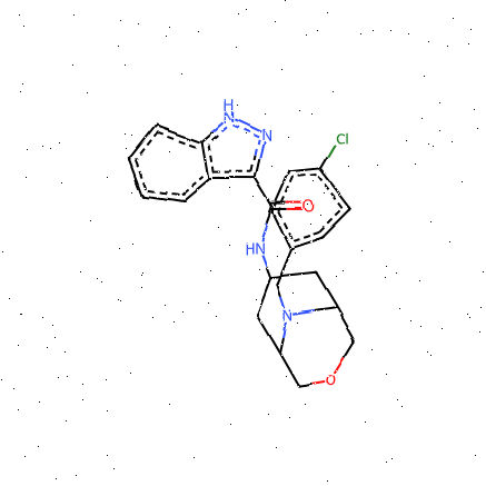 O=C(NC1CC2COCC(C1)N2Cc1ccc(Cl)cc1)c1n[nH]c2ccccc12